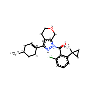 CC1(c2cccc(Cl)c2C(=O)n2nc(C3=CCC(C(=O)O)CC3)c3c2COCC3)CC1